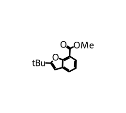 COC(=O)c1cccc2cc(C(C)(C)C)oc12